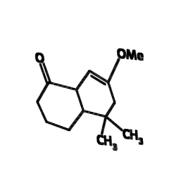 COC1=CC2C(=O)CCCC2C(C)(C)C1